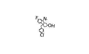 CN(C)CC1CC(O)CCC1(Cc1ccc(Cl)cc1)c1ccc(F)cc1